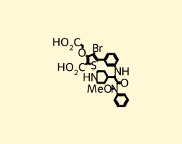 CON(C(=O)C(Nc1cccc(-c2sc(C(=O)O)c(OCC(=O)O)c2Br)c1)C1CCNCC1)c1ccccc1